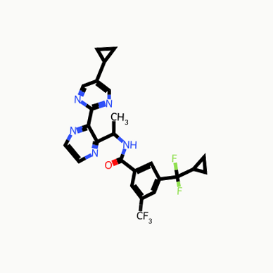 CC(NC(=O)c1cc(C(F)(F)F)cc(C(F)(F)C2CC2)c1)c1nccnc1-c1ncc(C2CC2)cn1